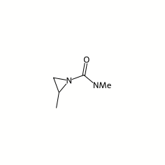 CNC(=O)N1CC1C